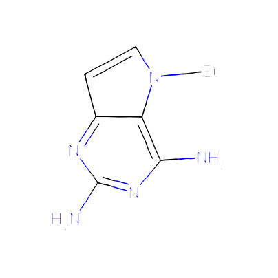 CCn1ccc2nc(N)nc(N)c21